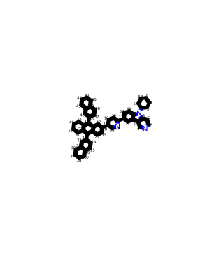 C1=CCC(n2c3ccncc3c3cc(-c4ccc(-c5ccc6c(-c7ccc8ccccc8c7)c7c(c(-c8ccc9ccccc9c8)c6c5)CCC=C7)cn4)ccc32)C=C1